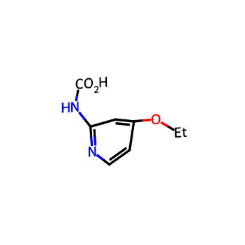 CCOc1ccnc(NC(=O)O)c1